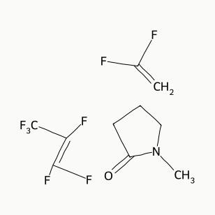 C=C(F)F.CN1CCCC1=O.FC(F)=C(F)C(F)(F)F